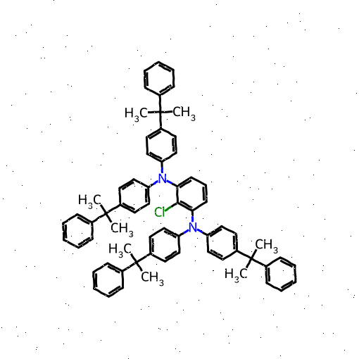 CC(C)(c1ccccc1)c1ccc(N(c2ccc(C(C)(C)c3ccccc3)cc2)c2cccc(N(c3ccc(C(C)(C)c4ccccc4)cc3)c3ccc(C(C)(C)c4ccccc4)cc3)c2Cl)cc1